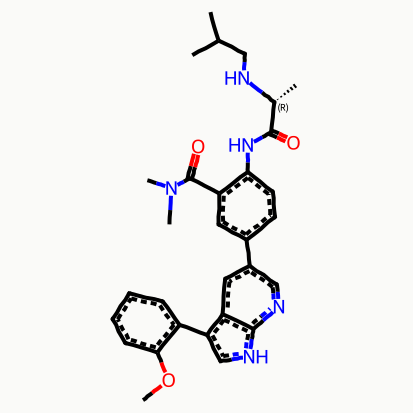 COc1ccccc1-c1c[nH]c2ncc(-c3ccc(NC(=O)[C@@H](C)NCC(C)C)c(C(=O)N(C)C)c3)cc12